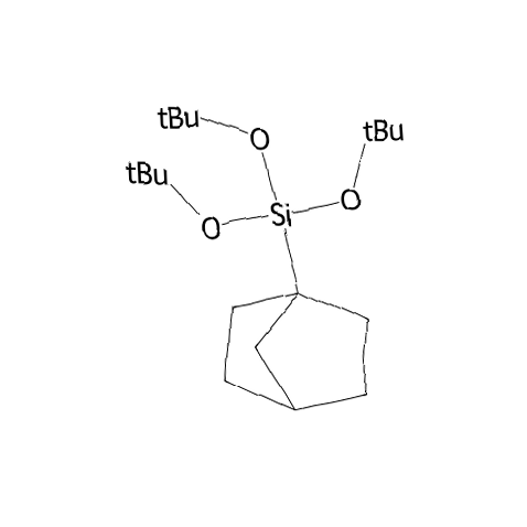 CC(C)(C)O[Si](OC(C)(C)C)(OC(C)(C)C)C12CCC(CC1)C2